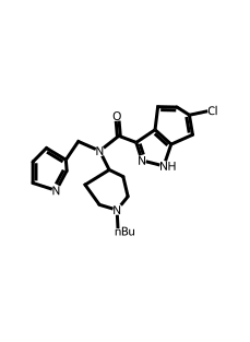 CCCCN1CCC(N(Cc2cccnc2)C(=O)c2n[nH]c3cc(Cl)ccc23)CC1